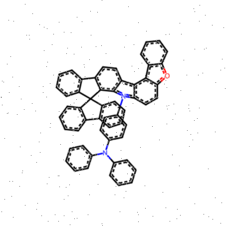 c1ccc(N(c2ccccc2)c2ccc(-n3c4ccc5oc6ccccc6c5c4c4ccc5c(c43)C3(c4ccccc4-c4ccccc43)c3ccccc3-5)cc2)cc1